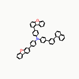 c1cc(-c2ccc(N(c3ccc(-c4ccc5c(c4)oc4ccccc45)cc3)c3ccc(-c4cccc5oc6ccccc6c45)cc3)cc2)cc(-c2cccc3ccccc23)c1